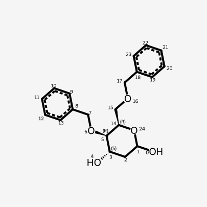 OC1C[C@H](O)[C@@H](OCc2ccccc2)[C@@H](COCc2ccccc2)O1